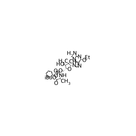 CCOc1nc(N)nc2c1ncn2[C@@H]1O[C@H](COP(=O)(N[C@@H](C)C(=O)OCC(C)C)Oc2ccccc2)[C@@H](O)C1(C)C